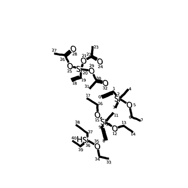 C=C[Si](C)(C)OCC.C=C[Si](C)(OCC)OCC.C=C[Si](OC(C)=O)(OC(C)=O)OC(C)=O.CCO[SiH](CC)CC